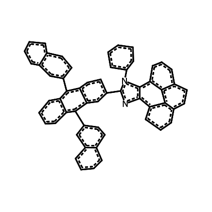 c1ccc(-n2c(-c3ccc4c(-c5ccc6ccccc6c5)c5ccccc5c(-c5ccc6ccccc6c5)c4c3)nc3c4cccc5ccc6cccc(c6c54)c32)cc1